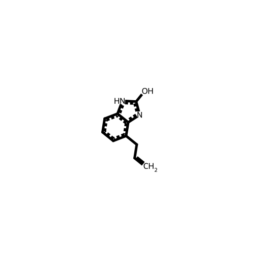 C=CCc1cccc2[nH]c(O)nc12